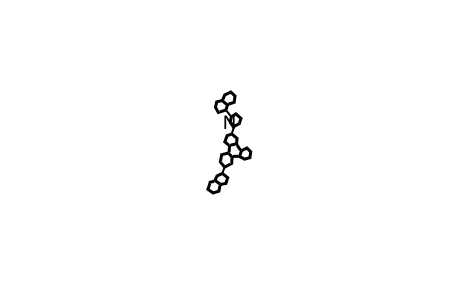 c1cc(-c2ccc3c4ccc(-c5ccc6ccccc6c5)cc4c4ccccc4c3c2)nc(-c2cccc3ccccc23)c1